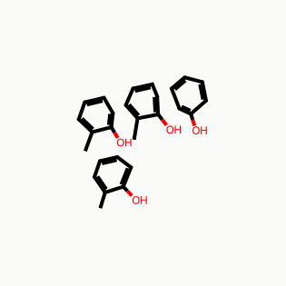 Cc1ccccc1O.Cc1ccccc1O.Cc1ccccc1O.Oc1ccccc1